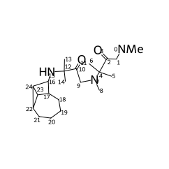 CNCC(=O)C(C)(C)N(C)CC(=O)C(C)(C)NC1C2CCCCC3C2C31